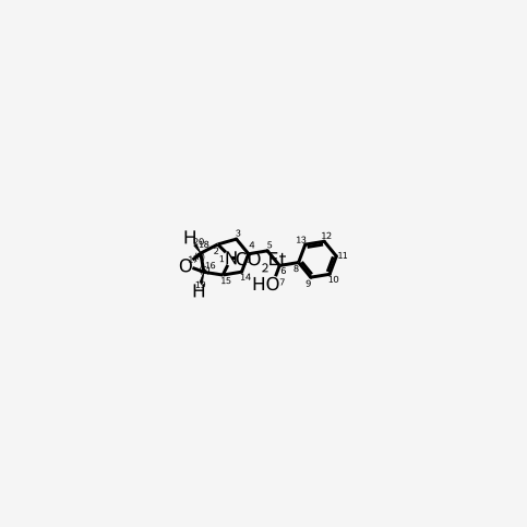 CCOC(=O)N1C2CC(CC(O)c3ccccc3)CC1[C@@H]1O[C@H]21